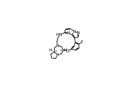 Fc1ccc2cc1-c1cnn3ccc(nc13)NCCN1C[C@@H](CN3CCC[C@H]3C1)O2